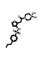 CCCc1ccc(S(=O)(=O)Nc2ccsc2CC(=O)N2CCS(O)(O)CC2)cc1